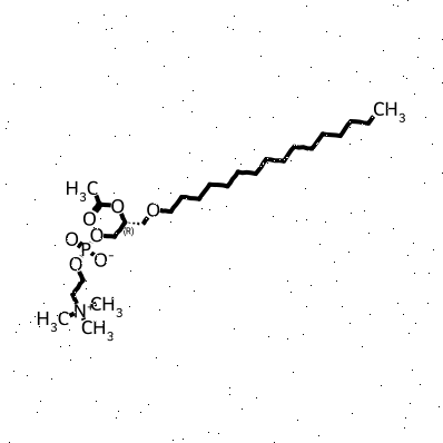 CCCCCCCCCCCCCCCCOC[C@H](COP(=O)([O-])OCC[N+](C)(C)C)OC(C)=O